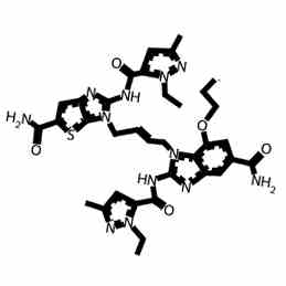 [CH2]CCOc1cc(C(N)=O)cc2nc(NC(=O)c3cc(C)nn3CC)n(C/C=C/Cn3c(NC(=O)c4cc(C)nn4CC)nc4cc(C(N)=O)sc43)c12